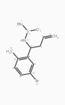 C=CCC(N[S+]([O-])C(C)(C)C)c1cc(Br)ccc1C